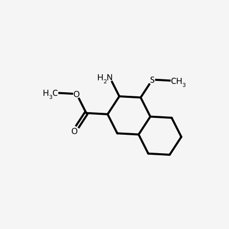 COC(=O)C1CC2CCCCC2C(SC)C1N